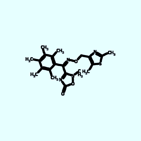 Cc1nc(CON=C(c2c(C)c(C)c(C)c(C)c2C)c2nc(=O)on2C)c(C)s1